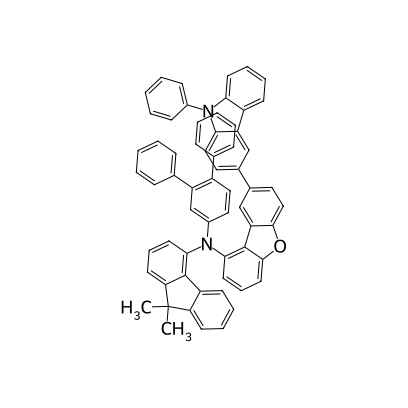 CC1(C)c2ccccc2-c2c(N(c3ccc(-c4ccccc4)c(-c4ccccc4)c3)c3cccc4oc5ccc(-c6ccc7c(c6)c6ccccc6n7-c6ccccc6)cc5c34)cccc21